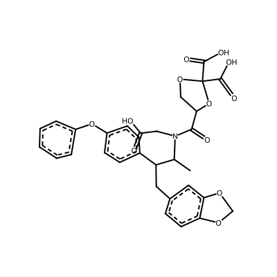 CC(C(Cc1ccc2c(c1)OCO2)c1ccc(Oc2ccccc2)cc1)N(CC(=O)O)C(=O)C1COC(C(=O)O)(C(=O)O)O1